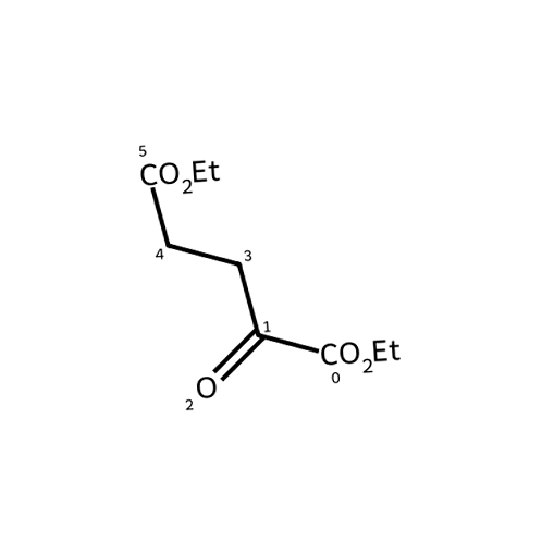 CCOC(=O)C(=O)CCC(=O)OC[3CH3]